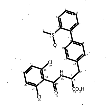 C[S+]([O-])c1ccccc1-c1ccc(C[C@H](NC(=O)c2c(Cl)cccc2Cl)C(=O)O)cc1